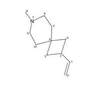 C=CC1CC2(CCN(C)CC2)C1